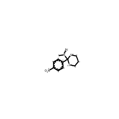 CC(=O)N(C)C1(c2ccc([N+](=O)[O-])cc2)SCCCS1